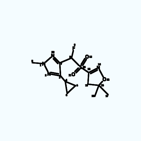 Cn1nc(C2CC2)c(C(F)S(=O)(=O)C2=NOC(C)(C)C2)n1